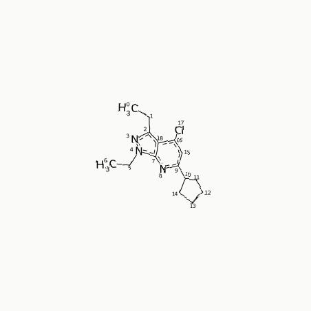 CCc1nn(CC)c2nc(C3CCCC3)cc(Cl)c12